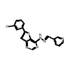 Clc1cccc(-c2cc3ncnc(NN=Cc4cccnc4)c3s2)c1